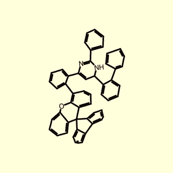 C1=C(c2ccccc2-c2cccc3c2Oc2ccccc2C32c3ccccc3-c3ccccc32)N=C(c2ccccc2)NC1c1ccccc1-c1ccccc1